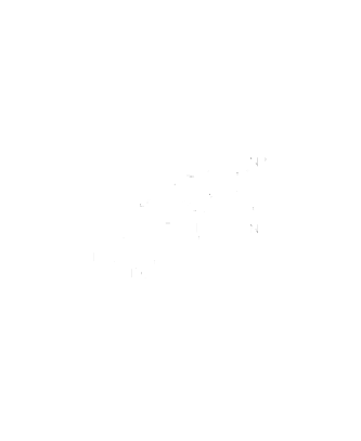 CCC(CC)c1ccc2c(c1)C(F)(F)C(=C(C#N)C#N)C=C2